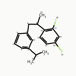 CC(C)c1cccc(CC(C)c2ccc(F)cc2F)c1